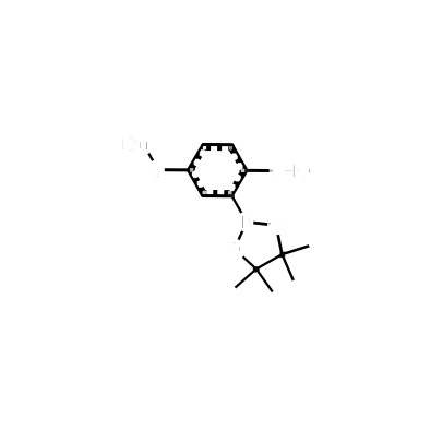 CC(C)(C)Sc1ccc(C=O)c(B2OC(C)(C)C(C)(C)O2)c1